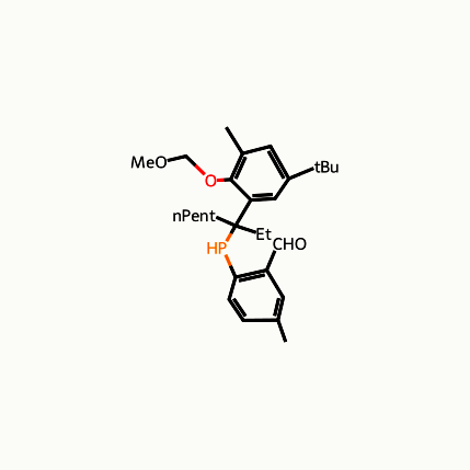 CCCCCC(CC)(Pc1ccc(C)cc1C=O)c1cc(C(C)(C)C)cc(C)c1OCOC